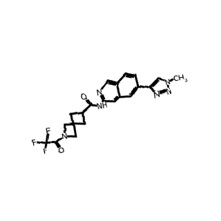 Cn1cc(-c2ccc3cnc(NC(=O)C4CC5(C4)CN(C(=O)C(F)(F)F)C5)cc3c2)nn1